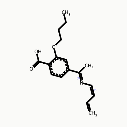 C=C/C=C\N=C(/C)c1ccc(C(=O)O)c(OCCCC)c1